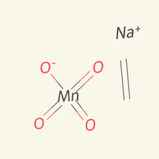 C=C.[Na+].[O]=[Mn](=[O])(=[O])[O-]